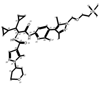 Cc1nn(COCC[Si](C)(C)C)c(C)c1-c1ccc(NC(=O)[C@@H](NC(=O)c2cnn(C3CCOCC3)c2C)C(C2CC2)C2CC2)nc1F